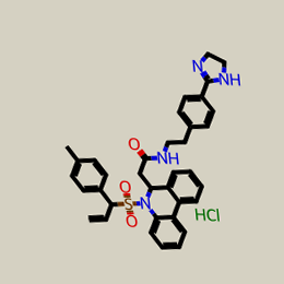 C=CC(c1ccc(C)cc1)S(=O)(=O)N1c2ccccc2-c2ccccc2C1CC(=O)NCCc1ccc(C2=NCCN2)cc1.Cl